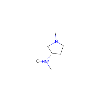 [CH2-][NH+](C)[C@H]1CCN(C)C1